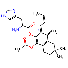 C=c1c2c(c(OC(C)=O)c(OC(=O)C(N)Cc3c[nH]cn3)/c1=C/C=C\C)CCC(C)(C)C2